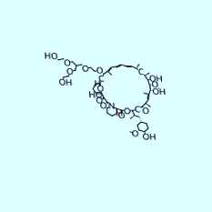 CO[C@@H]1C[C@H](C[C@@H](C)[C@@H]2CC(=O)[C@H](C)/C=C(\C)[C@@H](O)[C@@H](OC)C(O)[C@H](C)C[C@H](C)/C=C/C=C/C=C(\C)C(OCCOCC(COCCO)COCCO)C[C@@H]3CC[C@@H](C)[C@@](O)(O3)C(=O)C(=O)N3CCCC[C@H]3C(=O)O2)CC[C@H]1O